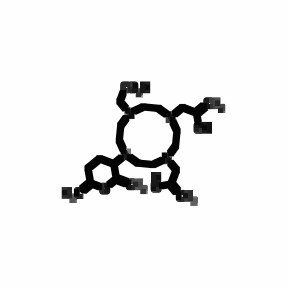 C=C(O)CN1CCN(CC(=C)O)CCN(C2CCC(=C)OC2=C)CCN(CC(=O)O)CC1